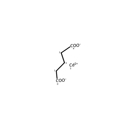 O=C([O-])CCCC(=O)[O-].[Cd+2]